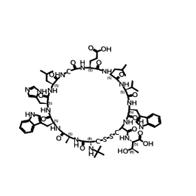 CC(C)C[C@@H]1NC(=O)[C@H](Cc2cnc[nH]2)NC(=O)[C@H](Cc2c[nH]c3ccccc23)NC(=O)[C@H](C)NC(=O)[C@@H](NC(C)(C)C)CSSCC(C(=O)N[C@H](C(=O)O)[C@@H](C)O)NC(=O)[C@H](Cc2c[nH]c3ccccc23)NC(=O)[C@H](C(C)C)NC(=O)[C@H](CC(C)C)NC(=O)[C@H](CCC(=O)O)NC(=O)CNC1=O